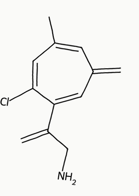 C=C1C=C(C)C=C(Cl)C(C(=C)CN)=C1